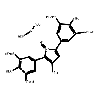 CCCCCc1cc(C2=CC(CCCC)=C(c3cc(CCCCC)c(CCCC)c(CCCCC)c3)[N+]2=[N-])cc(CCCCC)c1CCCC.CCC[CH2][Ni][CH2]CCC